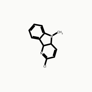 CN1c2ccccc2C2N=C(Cl)C=CC21